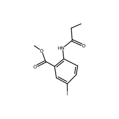 CCC(=O)Nc1ccc(I)cc1C(=O)OC